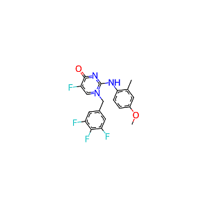 COc1ccc(Nc2nc(=O)c(F)cn2Cc2cc(F)c(F)c(F)c2)c(C)c1